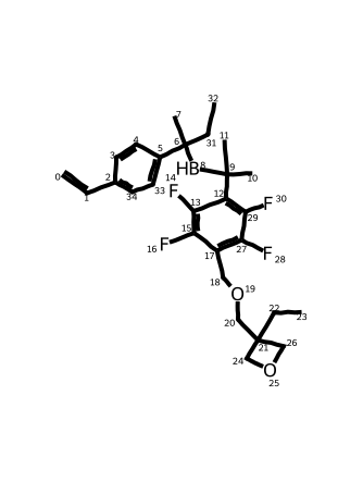 C=Cc1ccc(C(C)(BC(C)(C)c2c(F)c(F)c(COCC3(CC)COC3)c(F)c2F)CC)cc1